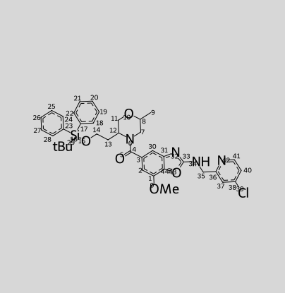 COc1cc(C(=O)N2CC(C)OCC2CCO[Si](c2ccccc2)(c2ccccc2)C(C)(C)C)cc2nc(NCc3cc(Cl)ccn3)oc12